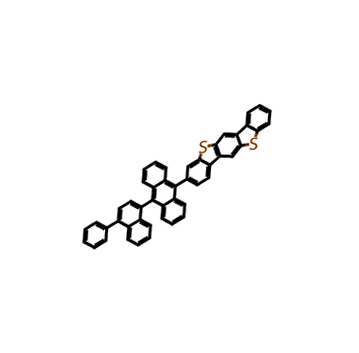 c1ccc(-c2ccc(-c3c4ccccc4c(-c4ccc5c(c4)sc4cc6c(cc45)sc4ccccc46)c4ccccc34)c3ccccc23)cc1